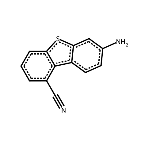 N#Cc1cccc2sc3cc(N)ccc3c12